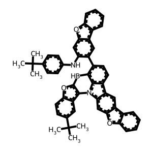 CC(C)(C)c1ccc(Nc2cc3oc4ccccc4c3cc2-c2ccc3c4cc5c(cc4n4c3c2Bc2oc3ccc(C(C)(C)C)cc3c2-4)oc2ccccc25)cc1